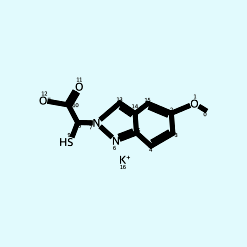 COc1ccc2nn(C(S)C(=O)[O-])cc2c1.[K+]